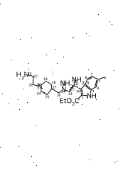 CCOC(=O)c1[nH]c2cc(C)ccc2c1/C(N)=C/N(N)CC1CCN(CCN)CC1